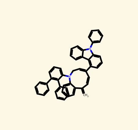 C=C1/C=C\C(c2cccc3c2c2ccccc2n3-c2ccccc2)=C/CN(c2cccc(-c3ccccc3)c2-c2ccccc2)c2ccccc21